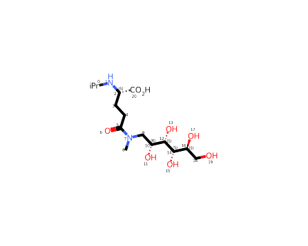 CC(C)N[C@@H](CCC(=O)N(C)C[C@@H](O)[C@H](O)[C@@H](O)[C@@H](O)CO)C(=O)O